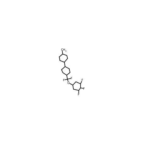 CC1CCC(C2CCC(C(F)(F)OC3CC(F)C(F)C(F)C3)CC2)CC1